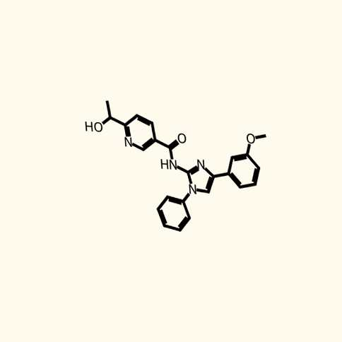 COc1cccc(-c2cn(-c3ccccc3)c(NC(=O)c3ccc(C(C)O)nc3)n2)c1